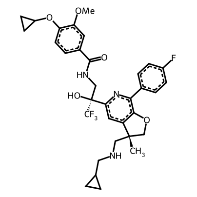 COc1cc(C(=O)NC[C@](O)(c2cc3c(c(-c4ccc(F)cc4)n2)OC[C@]3(C)CNCC2CC2)C(F)(F)F)ccc1OC1CC1